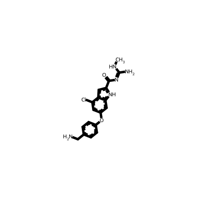 CNC(N)=NC(=O)c1cc2c(Cl)cc(Oc3ccc(CN)cc3)cc2[nH]1